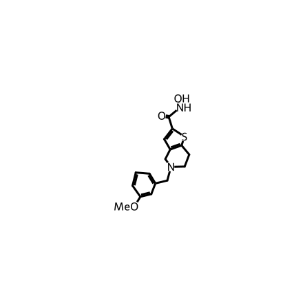 COc1cccc(CN2CCc3sc(C(=O)NO)cc3C2)c1